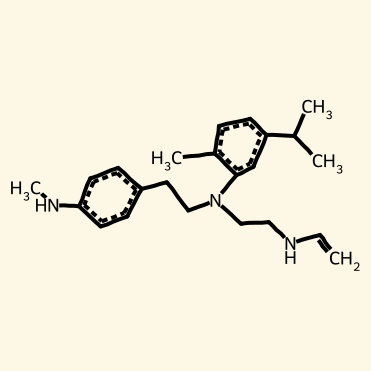 C=CNCCN(CCc1ccc(NC)cc1)c1cc(C(C)C)ccc1C